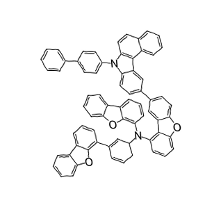 C1=CC(c2cccc3c2oc2ccccc23)=CC(N(c2cccc3c2oc2ccccc23)c2cccc3oc4ccc(-c5ccc6c(c5)c5c7ccccc7ccc5n6-c5ccc(-c6ccccc6)cc5)cc4c23)C1